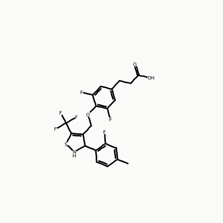 Cc1ccc(C2NSC(C(F)(F)F)=C2COc2c(F)cc(CCC(=O)O)cc2F)c(F)c1